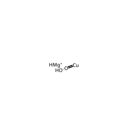 [MgH+].[OH-].[O]=[Cu]